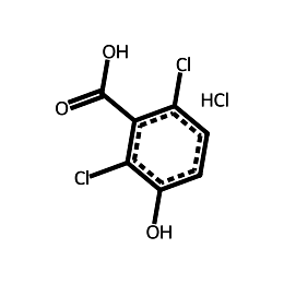 Cl.O=C(O)c1c(Cl)ccc(O)c1Cl